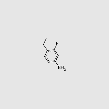 Bc1ccc(CC)c(F)c1